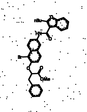 CCCCc1oc2ccccc2c1C(=O)Nc1ccc2c(Br)c(OC(Cc3ccccc3)C(=O)OC)ccc2c1